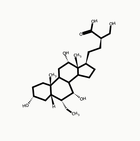 CC[C@H]1[C@@H](O)C2C3CC[C@H](CC[C@H](CO)C(=O)O)[C@@]3(C)[C@@H](O)CC2[C@@]2(C)CC[C@@H](O)C[C@@H]12